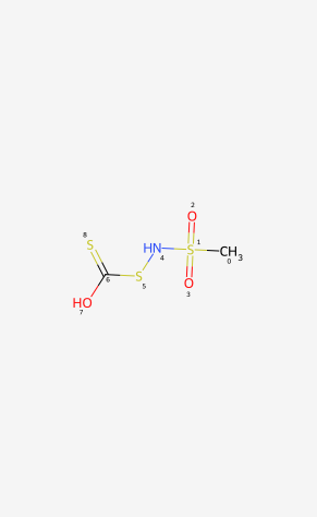 CS(=O)(=O)NSC(O)=S